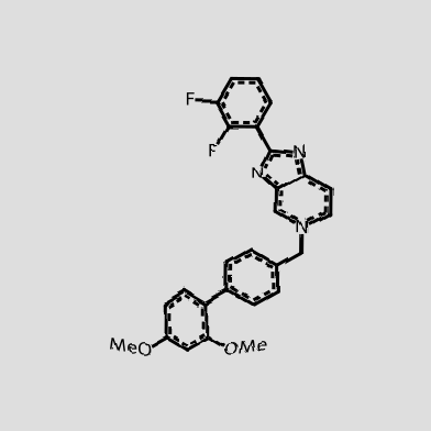 COc1ccc(-c2ccc(Cn3ccc4nc(-c5cccc(F)c5F)nc-4c3)cc2)c(OC)c1